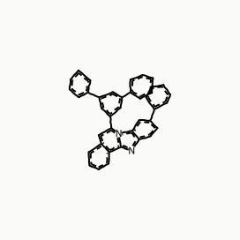 c1ccc(-c2cc(-c3ccccc3)cc(-c3cc4ccccc4c4nc5ccc(-c6ccccc6)cc5n34)c2)cc1